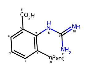 CCCCCc1cccc(C(=O)O)c1NC(=N)N